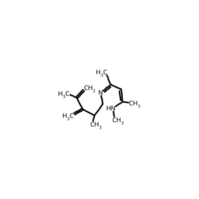 C=C(C)C(=C)C(C)C/N=C(C)\C=C(\C)NC